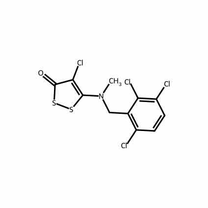 CN(Cc1c(Cl)ccc(Cl)c1Cl)c1ssc(=O)c1Cl